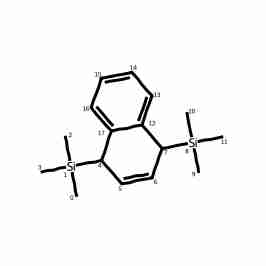 C[Si](C)(C)C1C=CC([Si](C)(C)C)c2ccccc21